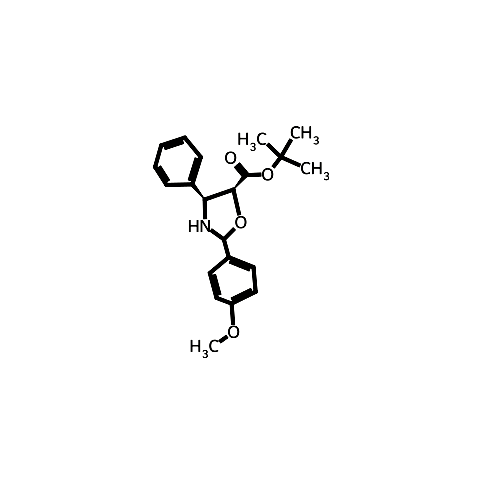 COc1ccc(C2N[C@@H](c3ccccc3)[C@@H](C(=O)OC(C)(C)C)O2)cc1